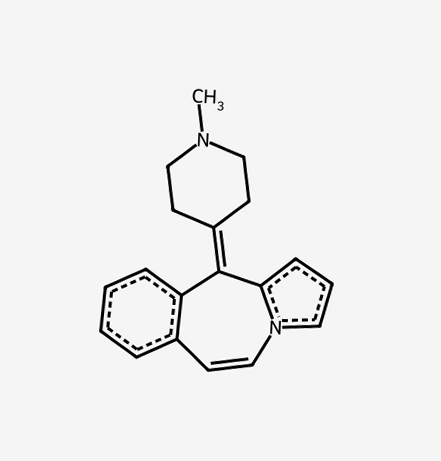 CN1CCC(=C2c3ccccc3C=Cn3cccc32)CC1